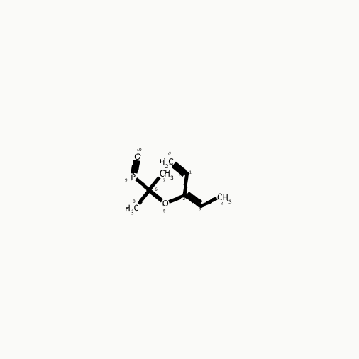 C=C/C(=C\C)OC(C)(C)P=O